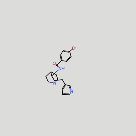 O=C(NC1C2CCN(CC2)C1Cc1cccnc1)c1ccc(Br)cc1